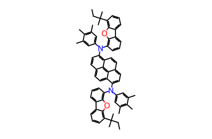 CCC(C)(C)c1cccc2c1oc1c(N(c3cc(C)c(C)c(C)c3)c3ccc4ccc5c(N(c6cc(C)c(C)c(C)c6)c6cccc7c6oc6c(C(C)(C)CC)cccc67)ccc6ccc3c4c65)cccc12